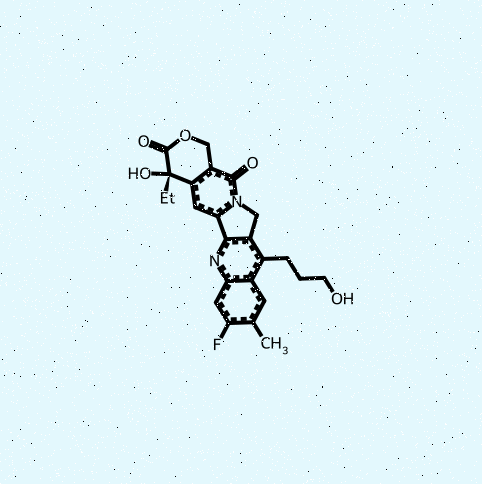 CC[C@@]1(O)C(=O)OCc2c1cc1n(c2=O)Cc2c-1nc1cc(F)c(C)cc1c2CCCO